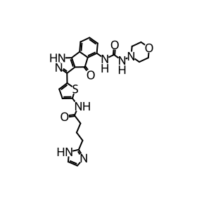 O=C(CCCc1ncc[nH]1)Nc1ccc(-c2n[nH]c3c2C(=O)c2c(NC(=O)NN4CCOCC4)cccc2-3)s1